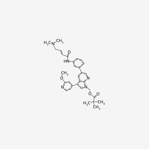 COc1cc(-c2cn(COC(=O)C(C)(C)C)c3ncc(-c4cccc(NC(=O)C=CCN(C)C)c4)cc23)ccn1